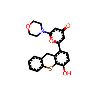 O=c1cc(-c2ccc(O)c3c2Cc2ccccc2S3)oc(N2CCOCC2)c1